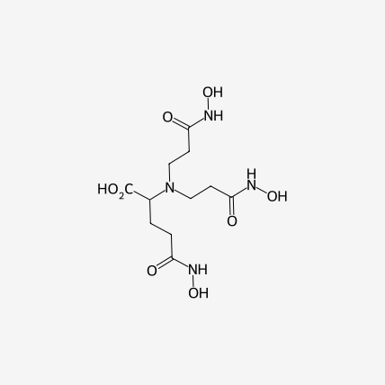 O=C(CCC(C(=O)O)N(CCC(=O)NO)CCC(=O)NO)NO